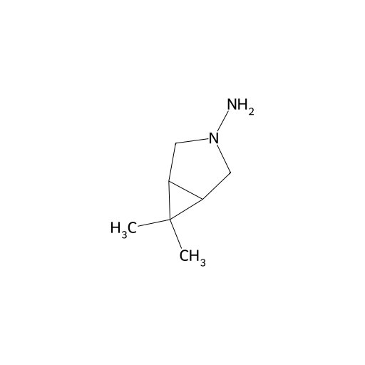 CC1(C)C2CN(N)CC21